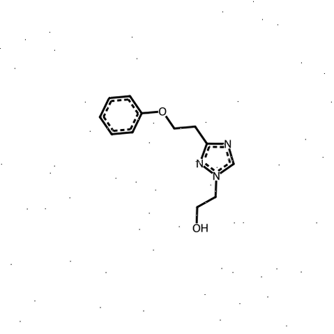 OCCn1cnc(CCOc2ccccc2)n1